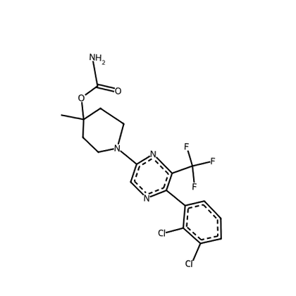 CC1(OC(N)=O)CCN(c2cnc(-c3cccc(Cl)c3Cl)c(C(F)(F)F)n2)CC1